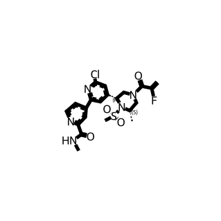 C=C(F)C(=O)N1C[C@H](C)N(S(C)(=O)=O)[C@H](c2cc(Cl)nc(-c3ccnc(C(=O)NC)c3)c2)C1